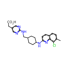 Cc1ccc2ccc(NC3CCC(CNc4ncc(CC(=O)O)cn4)CC3)nc2c1Cl